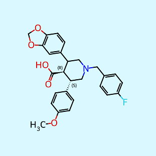 COc1ccc([C@H]2CN(Cc3ccc(F)cc3)CC(c3ccc4c(c3)OCO4)[C@@H]2C(=O)O)cc1